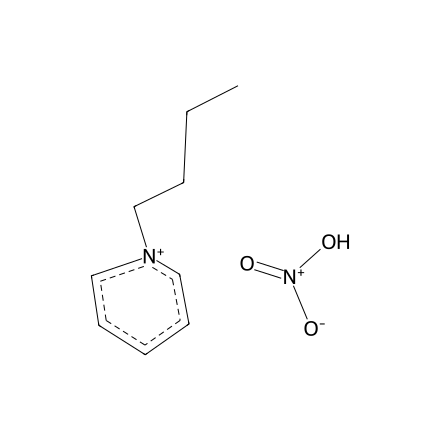 CCCC[n+]1ccccc1.O=[N+]([O-])O